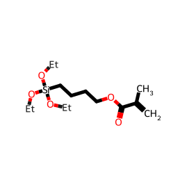 C=C(C)C(=O)OCCCC[Si](OCC)(OCC)OCC